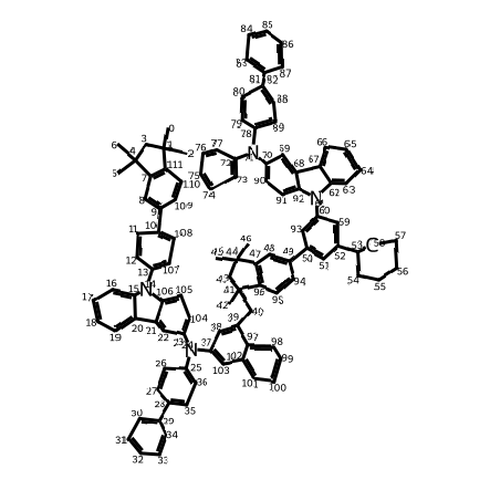 CC1(C)CC(C)(C)c2cc(-c3ccc(-n4c5ccccc5c5cc(N(c6ccc(-c7ccccc7)cc6)c6cc(CC7(C)CC(C)(C)c8cc(-c9cc(C%10CCCCC%10)cc(-n%10c%11ccccc%11c%11cc(N(c%12ccccc%12)c%12ccc(-c%13ccccc%13)cc%12)ccc%11%10)c9)ccc87)c7ccccc7c6)ccc54)cc3)ccc21